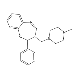 CN1CCN(CC2C=Nc3ccccc3SC2c2ccccc2)CC1